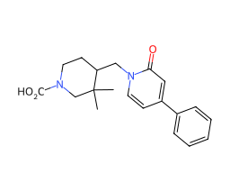 CC1(C)CN(C(=O)O)CCC1Cn1ccc(-c2ccccc2)cc1=O